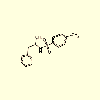 [CH2]C(Cc1ccccc1)NS(=O)(=O)c1ccc(C)cc1